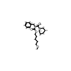 COCCCCCOC(=O)N(Cc1ccccc1)C(=O)N1CCCCC1